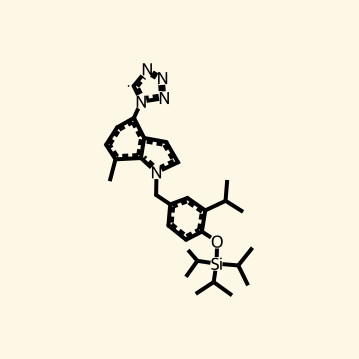 Cc1ccc(-n2[c]nnn2)c2ccn(Cc3ccc(O[Si](C(C)C)(C(C)C)C(C)C)c(C(C)C)c3)c12